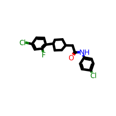 O=C(CC1CCC(c2ccc(Cl)cc2F)CC1)Nc1ccc(Cl)cc1